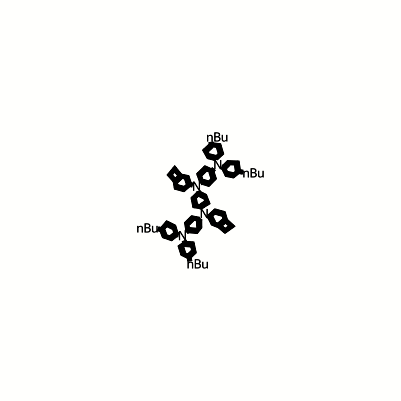 CCCCc1ccc(N(c2ccc(CCCC)cc2)c2ccc(N(c3ccc(N(c4ccc(N(c5ccc(CCCC)cc5)c5ccc(CCCC)cc5)cc4)c4ccc5c(c4)CC5)cc3)c3ccc4c(c3)CC4)cc2)cc1